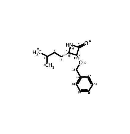 CC(C)CC[C@@H]1NC(=O)[C@@H]1OCc1ccccc1